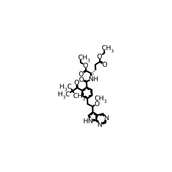 CCOC(=O)CC[C@H](NC(=O)c1ccc(CC(OC)c2c[nH]c3ncncc23)cc1C(=O)C(C)(C)C)C(=O)OCC